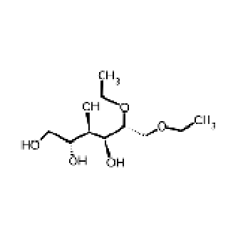 CCOC[C@@H](OCC)[C@@H](O)[C@H](O)[C@H](O)CO